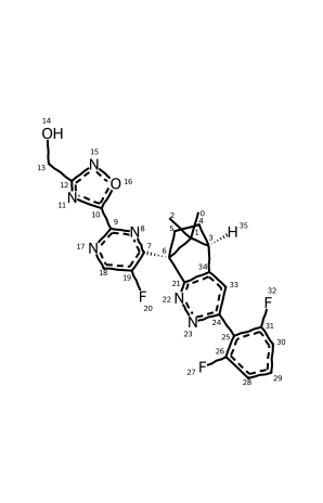 CC1(C)[C@H]2CC[C@]1(c1nc(-c3nc(CO)no3)ncc1F)c1nnc(-c3c(F)cccc3F)cc12